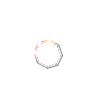 c1ccoopcc1